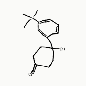 C[Si](C)(C)c1cccc(C2(O)CCC(=O)CC2)c1